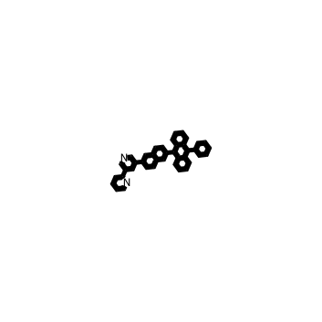 c1ccc(-c2c3ccccc3c(-c3ccc4cc(-c5cncc(-c6ccccn6)c5)ccc4c3)c3ccccc23)cc1